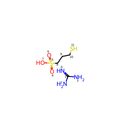 N=C(N)N.O=S(=O)(O)CCCS